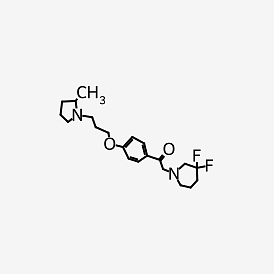 CC1CCCN1CCCOc1ccc(C(=O)CN2CCCC(F)(F)C2)cc1